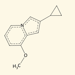 COc1cccn2cc(C3CC3)cc12